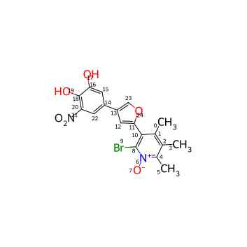 Cc1c(C)c(C)[n+]([O-])c(Br)c1-c1cc(-c2cc(O)c(O)c([N+](=O)[O-])c2)co1